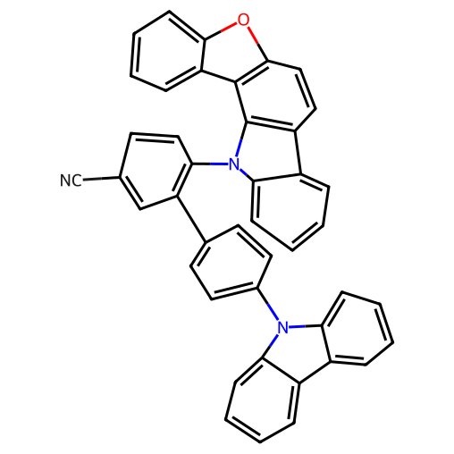 N#Cc1ccc(-n2c3ccccc3c3ccc4oc5ccccc5c4c32)c(-c2ccc(-n3c4ccccc4c4ccccc43)cc2)c1